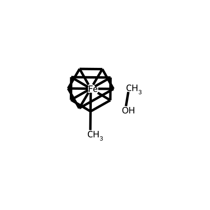 CO.C[C]12[CH]3[CH]4[CH]5[CH]1[Fe]45321678[CH]2[CH]1[CH]6[CH]7[CH]28